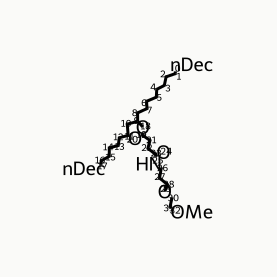 CCCCCCCCCCCCCCCCCCC(CCCCCCCCCCCCCCCCC)OC(=O)CCC(=O)NCCCOCCOC